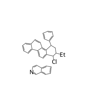 CCC1CC(c2ccccc2)c2c(ccc3c2ccc2ccccc23)C1Cl.c1ccc2cnccc2c1